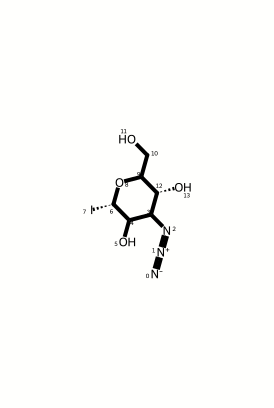 [N-]=[N+]=NC1C(O)[C@H](I)OC(CO)[C@@H]1O